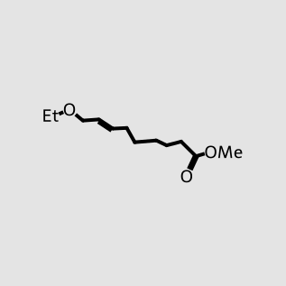 CCOCC=CCCCCCC(=O)OC